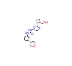 O=C(Nc1cccc(N2CCOCC2)c1)Nc1ccnc(N2CCC[C@H]2CO)n1